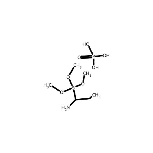 CCC(N)[Si](OC)(OC)OC.O=P(O)(O)O